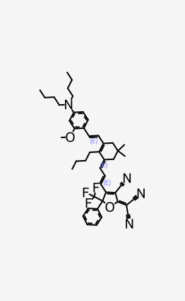 CCCCC1=C(/C=C/c2ccc(N(CCCC)CCCC)cc2OC)CC(C)(C)C/C1=C\C=C\C1=C(C#N)C(=C(C#N)C#N)OC1(c1ccccc1)C(F)(F)F